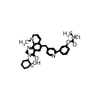 CCN(C)C(=O)Oc1cccc(-c2cc(Cc3cc4c(=O)n([C@H]5CCCC[C@@H]5O)cnc4c4c3C=CCN4C)ccn2)c1